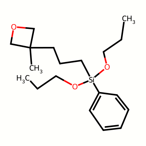 CCCO[Si](CCCC1(C)COC1)(OCCC)c1ccccc1